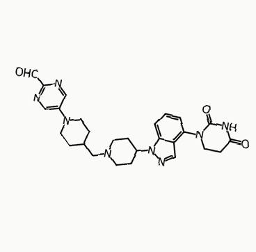 O=Cc1ncc(N2CCC(CN3CCC(n4ncc5c(N6CCC(=O)NC6=O)cccc54)CC3)CC2)cn1